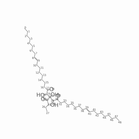 CCCCCCCCC=CCCCCCCCC(=O)C(O)C(O)(C(=O)CCC)C(O)C(=O)CCCCCCCC=CCCCCCCCC